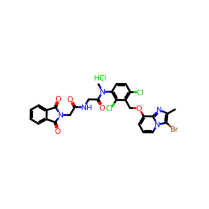 Cc1nc2c(OCc3c(Cl)ccc(N(C)C(=O)CNC(=O)CN4C(=O)c5ccccc5C4=O)c3Cl)cccn2c1Br.Cl